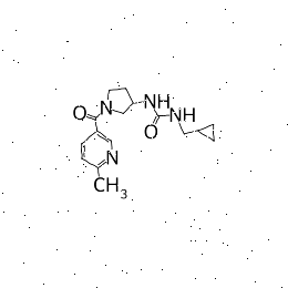 Cc1ccc(C(=O)N2CCC(NC(=O)NCC3CC3)C2)cn1